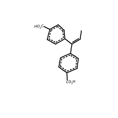 CC=C(c1ccc(C(=O)O)cc1)c1ccc(C(=O)O)cc1